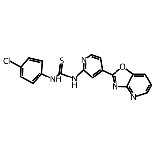 S=C(Nc1ccc(Cl)cc1)Nc1cc(-c2nc3ncccc3o2)ccn1